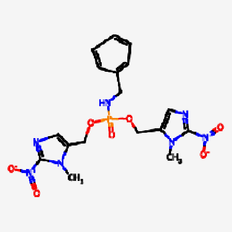 Cn1c(COP(=O)(NCc2ccccc2)OCc2cnc([N+](=O)[O-])n2C)cnc1[N+](=O)[O-]